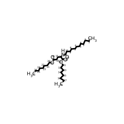 CCCCCCCCCCCC(=O)NC(CCC(=O)OCCCCCCCC)C(=O)OCCCCCCCC